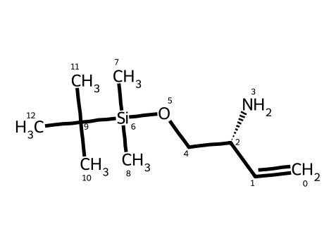 C=C[C@@H](N)CO[Si](C)(C)C(C)(C)C